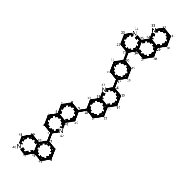 c1cc(-c2ccc3ccc(-c4ccc5ccc(-c6ccc(-c7ccnc8c7ccc7cccnc78)cc6)nc5c4)cc3n2)c2ccncc2c1